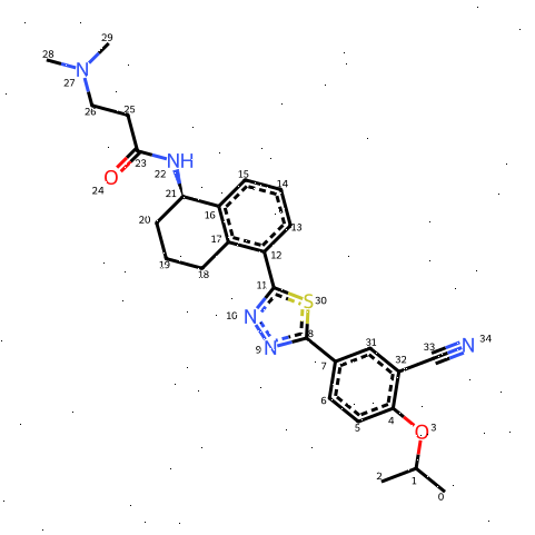 CC(C)Oc1ccc(-c2nnc(-c3cccc4c3CCC[C@H]4NC(=O)CCN(C)C)s2)cc1C#N